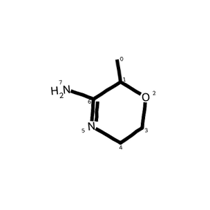 CC1OCCN=C1N